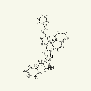 O=C(c1ccc2ccccc2c1)N(C[C@@H]1CNC[C@H]1Cc1ccccc1)c1ccc(OCc2ccccc2)cc1